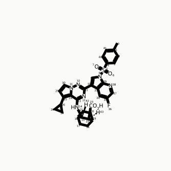 Cc1ccc(S(=O)(=O)n2cc(-c3nc(N[C@H]4C5CCC(CC5)[C@@H]4C(=O)O)c4c(C5CC5)ccn4n3)c3cc(F)cnc32)cc1